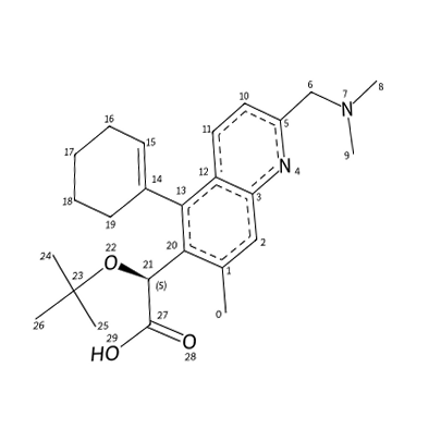 Cc1cc2nc(CN(C)C)ccc2c(C2=CCCCC2)c1[C@H](OC(C)(C)C)C(=O)O